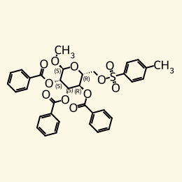 CO[C@H]1O[C@H](COS(=O)(=O)c2ccc(C)cc2)[C@@H](OC(=O)c2ccccc2)[C@H](OC(=O)c2ccccc2)[C@@H]1OC(=O)c1ccccc1